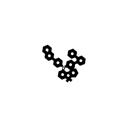 CC1(C)c2ccccc2-c2c(N(c3ccc(-c4ccc5ccccc5c4)cc3)c3ccc(-c4ccccc4-c4ccccc4)cc3)cccc21